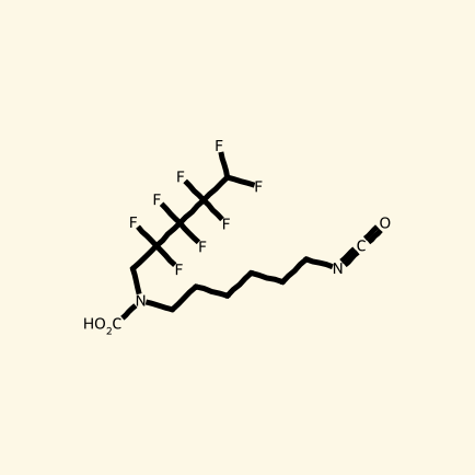 O=C=NCCCCCCN(CC(F)(F)C(F)(F)C(F)(F)C(F)F)C(=O)O